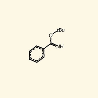 CC(C)(C)OC(=N)c1cc[c]cc1